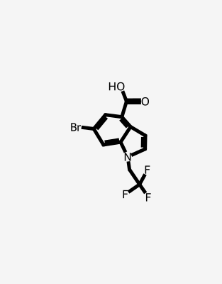 O=C(O)c1cc(Br)cc2c1ccn2CC(F)(F)F